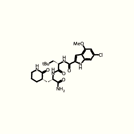 COc1cc(Cl)cc2[nH]c(C(=O)N[C@@H](CC(C)(C)C)C(=O)N[C@@H](C[C@@H]3CCCNC3=O)C(N)=O)cc12